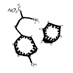 NC(Cc1ccc(O)cc1)C(=O)O.c1ccccc1